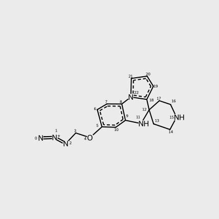 [N-]=[N+]=NCOc1ccc2c(c1)NC1(CCNCC1)c1cccn1-2